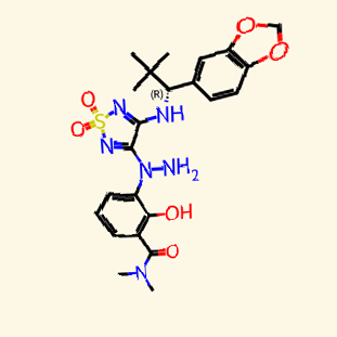 CN(C)C(=O)c1cccc(N(N)C2=NS(=O)(=O)N=C2N[C@@H](c2ccc3c(c2)OCO3)C(C)(C)C)c1O